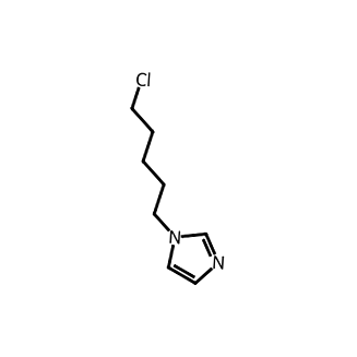 ClCCCCCn1ccnc1